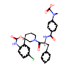 CN(C(=O)O)c1ccc(C(=O)N[C@@H](Cc2ccccc2)C(=O)N2CCC[C@]3(C2)OC(=O)Nc2ccc(F)cc23)cc1